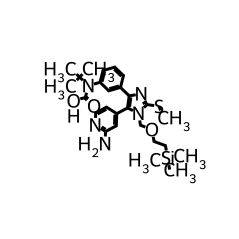 CSc1nc(-c2cccc(N(C(=O)O)C(C)(C)C)c2)c(-c2ccnc(N)c2)n1COCC[Si](C)(C)C